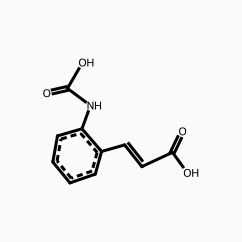 O=C(O)C=Cc1ccccc1NC(=O)O